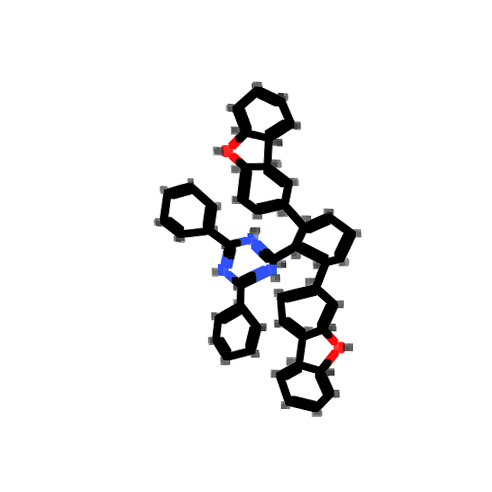 c1ccc(-c2nc(-c3ccccc3)nc(-c3c(-c4ccc5c(c4)oc4ccccc45)cccc3-c3ccc4oc5ccccc5c4c3)n2)cc1